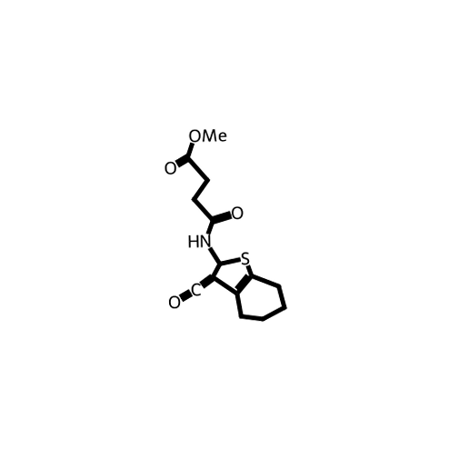 COC(=O)CCC(=O)NC1SC2=C(CCCC2)C1=C=O